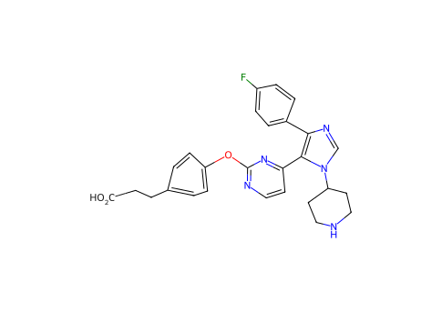 O=C(O)CCc1ccc(Oc2nccc(-c3c(-c4ccc(F)cc4)ncn3C3CCNCC3)n2)cc1